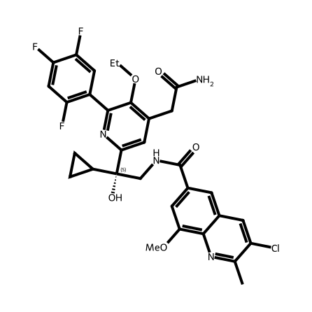 CCOc1c(CC(N)=O)cc([C@@](O)(CNC(=O)c2cc(OC)c3nc(C)c(Cl)cc3c2)C2CC2)nc1-c1cc(F)c(F)cc1F